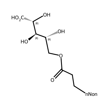 CCCCCCCCCCCC(=O)OC[C@@H](O)[C@@H](O)[C@@H](O)C(=O)O